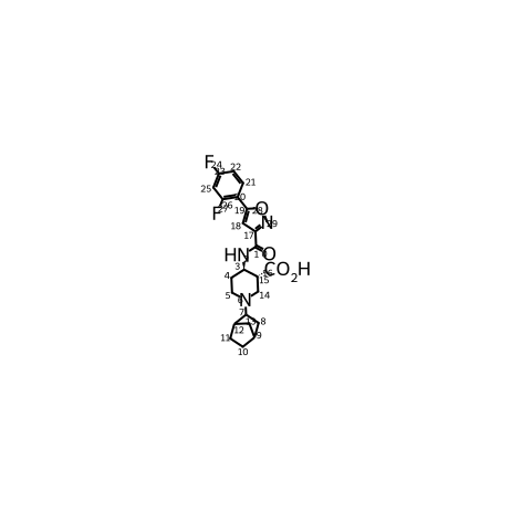 O=C(N[C@@H]1CCN(C2CC3CCC2C3)C[C@H]1C(=O)O)c1cc(-c2ccc(F)cc2F)on1